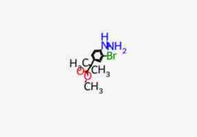 CCOC(=O)C(C)(C)c1ccc(NN)c(Br)c1